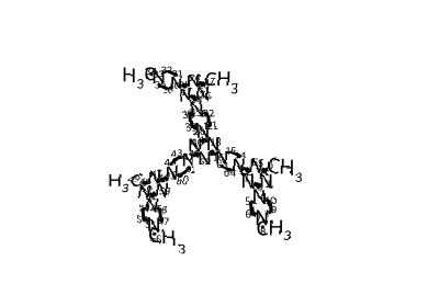 Cc1nc(N2CCN(C)CC2)nc(N2CCN(c3nc(N4CCN(c5nc(C)nc(N6CCN(C)CC6)n5)CC4)nc(N4CCN(c5nc(C)nc(N6CCN(C)CC6)n5)CC4)n3)CC2)n1